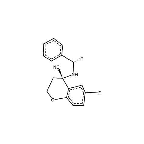 C[C@H](N[C@@]1(C#N)CCOc2ccc(F)cc21)c1ccccc1